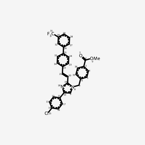 COC(=O)c1ccc(Cn2cc(-c3ccc(Cl)cc3)nc2/C=C/c2ccc(-c3cccc(C(F)(F)F)c3)cc2)cc1